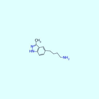 Cc1n[nH]c2ccc(CCCCN)cc12